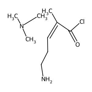 CC(=CCCN)C(=O)Cl.CN(C)C